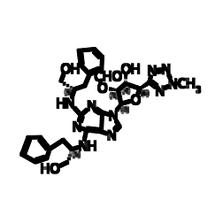 Cn1nnc([C@H]2O[C@@H](n3cnc4c(N[C@H](CO)Cc5ccccc5)nc(N[C@H](CO)Cc5ccccc5)nc43)[C@H](OC=O)[C@@H]2O)n1